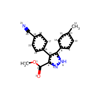 COC(=O)c1n[nH]c(-c2ccc(C)cc2)c1-c1ccc(C#N)cc1